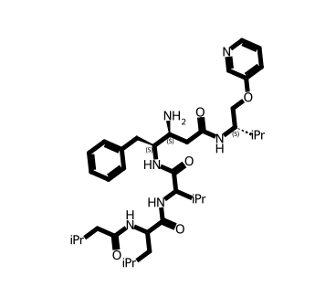 CC(C)CC(=O)NC(CC(C)C)C(=O)NC(C(=O)N[C@@H](Cc1ccccc1)[C@@H](N)CC(=O)N[C@H](COc1cccnc1)C(C)C)C(C)C